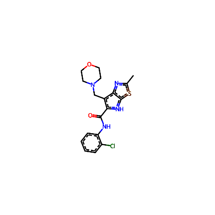 Cc1nc2c(CN3CCOCC3)c(C(=O)Nc3ccccc3Cl)[nH]c2s1